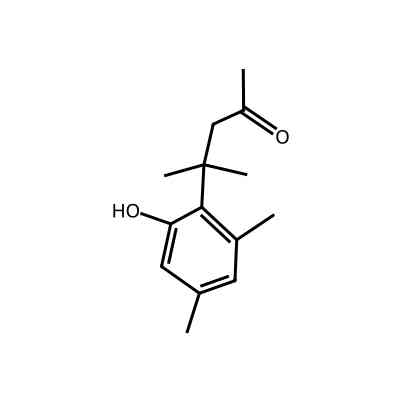 CC(=O)CC(C)(C)c1c(C)cc(C)cc1O